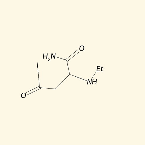 CCNC(CC(=O)I)C(N)=O